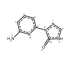 Nc1cccc(-n2nc[nH]c2=O)n1